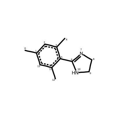 Cc1cc(C)c(C2=NCCN2)c(C)c1